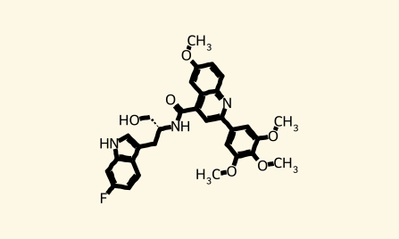 COc1ccc2nc(-c3cc(OC)c(OC)c(OC)c3)cc(C(=O)N[C@@H](CO)Cc3c[nH]c4cc(F)ccc34)c2c1